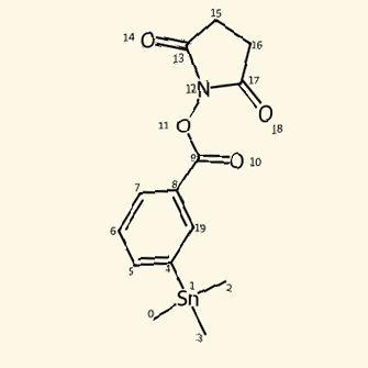 [CH3][Sn]([CH3])([CH3])[c]1cccc(C(=O)ON2C(=O)CCC2=O)c1